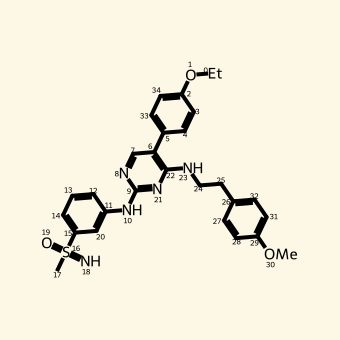 CCOc1ccc(-c2cnc(Nc3cccc(S(C)(=N)=O)c3)nc2NCCc2ccc(OC)cc2)cc1